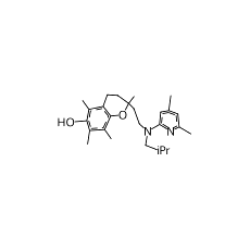 Cc1cc(C)nc(N(CCC2(C)CCc3c(C)c(O)c(C)c(C)c3O2)CC(C)C)c1